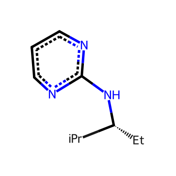 CC[C@@H](Nc1ncccn1)C(C)C